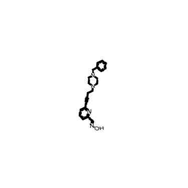 O/N=C/c1cccc(C#CCCN2CCN(Cc3ccccc3)CC2)n1